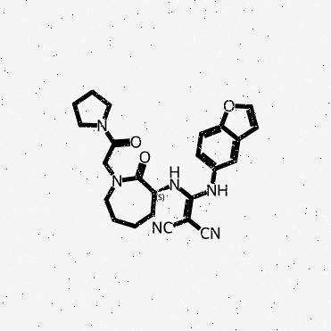 N#CC(C#N)=C(Nc1ccc2occc2c1)N[C@H]1CCCCN(CC(=O)N2CCCC2)C1=O